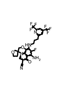 N#Cc1cn2c3c(c(NCCCc4cc(C(F)(F)F)cc(C(F)(F)F)n4)c(F)c(N)c3c1=O)OCC21CCOC1